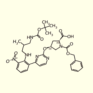 CC(CNC(=O)OC(C)(C)C)CNc1c(-c2ccnc(O[C@H]3C[C@@H](C(=O)O)N(C(=O)OCc4ccccc4)C3)n2)cccc1[N+](=O)[O-]